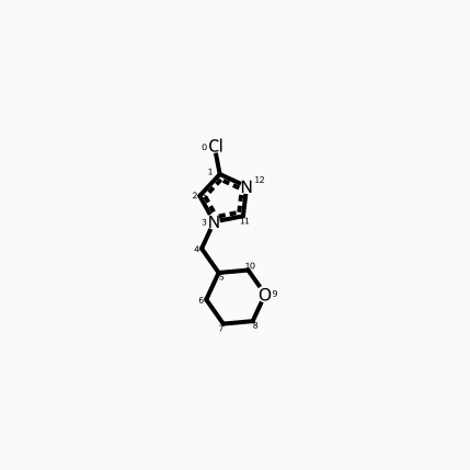 Clc1cn(CC2CCCOC2)cn1